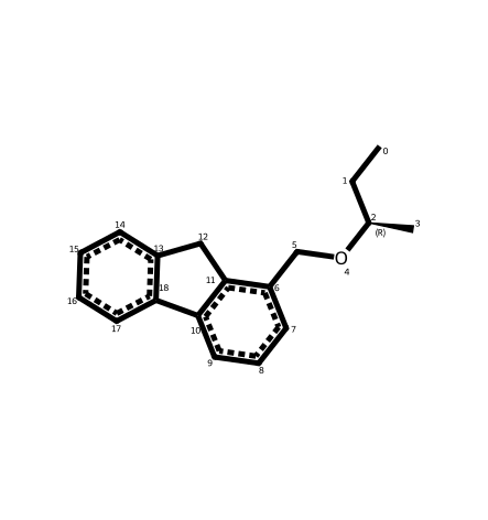 CC[C@@H](C)OCc1cccc2c1Cc1ccccc1-2